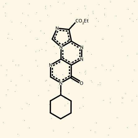 CCOC(=O)c1ncn2c1nnc1c(=O)n(C3CCCCC3)cnc12